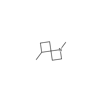 CC1CCC12CCN2C